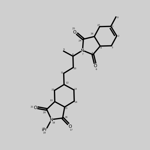 CC1=CCC2C(=O)N(C(C)CCC3CCC4C(=O)N(C(C)C)C(=O)C4C3)C(=O)C2C1